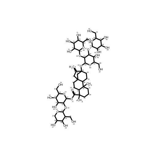 C=C1CC23CCC4C(C)(C(=O)OC5OC(CO)[C@H](O)C(O)C5OC5OCC(O)C(O)C5CO)CCCC4(C)C2CCC1(OC1OC(CO)C(O)C(O[C@@H]2OC(CO)C(O)C(O)C2O)C1OC1OC(CO)C(O)C(O)C1O)C3